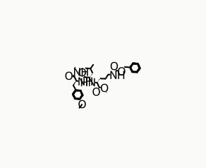 CNC(=O)[C@H](Cc1ccc(OC)cc1)NC(=O)[C@H](CC(C)C)N[C@H](CCCNC(=O)OCc1ccccc1)C(=O)OC